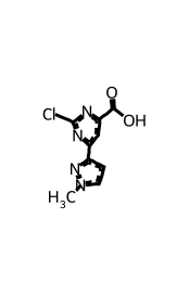 Cn1ccc(-c2cc(C(=O)O)nc(Cl)n2)n1